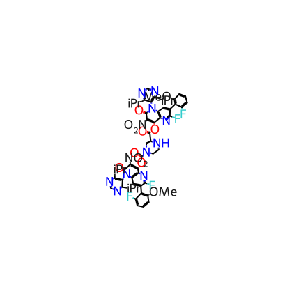 COc1cccc(F)c1-c1cc2c(nc1F)c(OC(=O)C1CN(C(=O)Oc3c([N+](=O)[O-])c(=O)n(-c4c(C(C)C)ncnc4C(C)C)c4cc(-c5c(F)cccc5OC)c(F)nc34)CCN1)c([N+](=O)[O-])c(=O)n2-c1c(C(C)C)ncnc1C(C)C